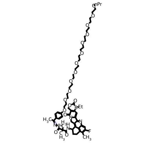 CCCOCCOCCOCCOCCOCCOCCOCCOCCOCCOCCOCCOc1ccc(/C(C)=N\NC(=O)C(C)(C)C(=O)NC2CCc3c(C)c(F)cc4nc5c(c2c34)Cn2c-5cc3c(c2=O)COC(=O)B3CC)cc1